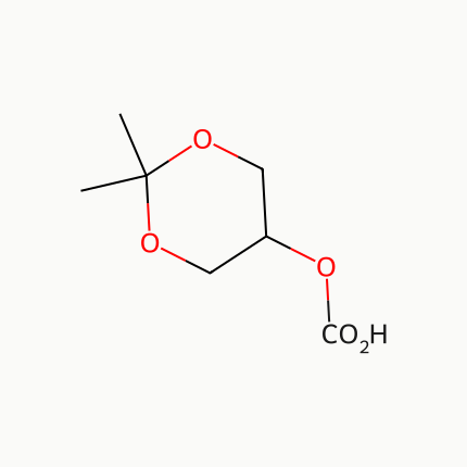 CC1(C)OCC(OC(=O)O)CO1